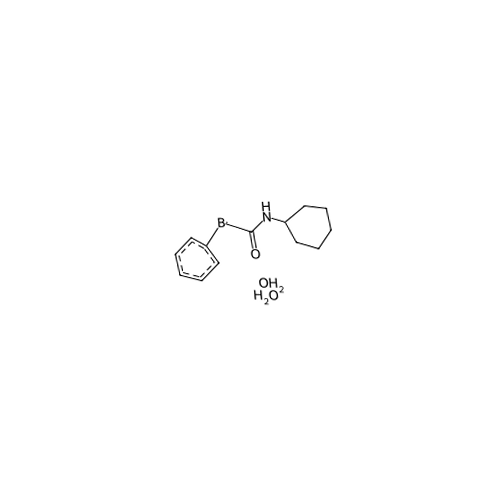 O.O.O=C([B]c1ccccc1)NC1CCCCC1